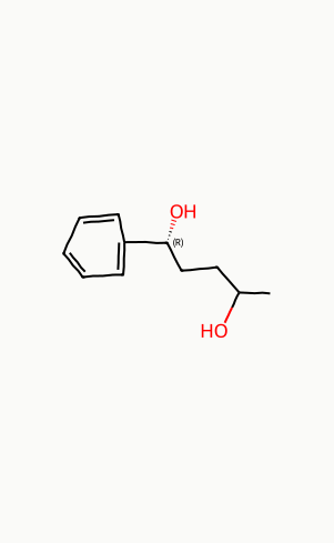 CC(O)CC[C@@H](O)c1ccccc1